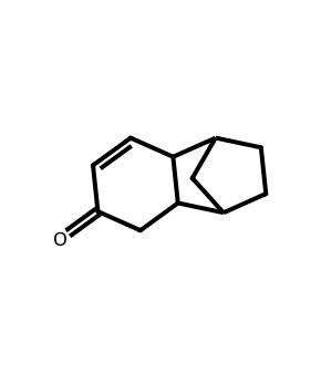 O=C1C=CC2C3CCC(C3)C2C1